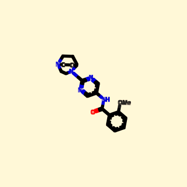 COc1ccccc1C(=O)Nc1cnc(N2CCN3CCC2CC3)nc1